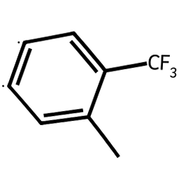 Cc1c[c][c]cc1C(F)(F)F